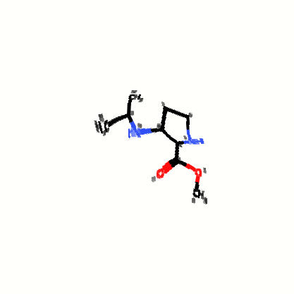 COC(=O)C1NCC[C@@H]1NC(C)C